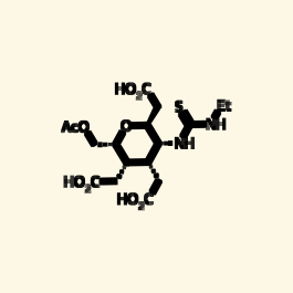 CCNC(=S)N[C@@H]1[C@H](CC(=O)O)[C@H](CC(=O)O)[C@H](COC(C)=O)O[C@H]1CC(=O)O